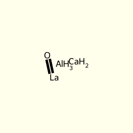 [AlH3].[CaH2].[O]=[La]